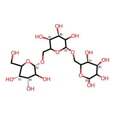 OCC1O[C@H](OCC2O[C@H](OCC3O[C@H](O)C(O)[C@H](O)[C@@H]3O)C(O)[C@H](O)[C@@H]2O)C(O)[C@H](O)[C@@H]1O